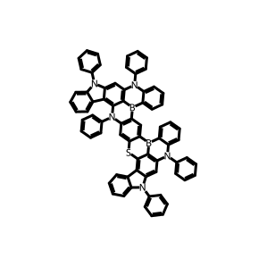 c1ccc(N2c3ccccc3B3c4cc5c(cc4Sc4c3c2cc2c4c3ccccc3n2-c2ccccc2)N(c2ccccc2)c2c3c(cc4c2c2ccccc2n4-c2ccccc2)N(c2ccccc2)c2ccccc2B53)cc1